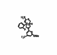 COc1cc(C(F)(F)F)cc(N2C[C@H]3CSC(N)=N[C@@]3(c3ccccc3F)C2)n1